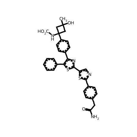 CC1(O)CC(NC(=O)O)(c2ccc(-c3nc(-c4cnc(-c5ccc(CC(N)=O)cc5)s4)sc3-c3ccccc3)cc2)C1